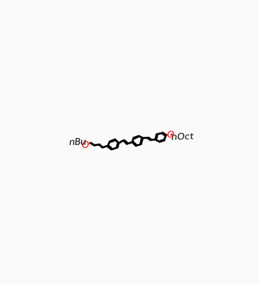 CCCCCCCCOc1ccc(C=Cc2ccc(C=Cc3ccc(CCCCOCCCC)cc3)cc2)cc1